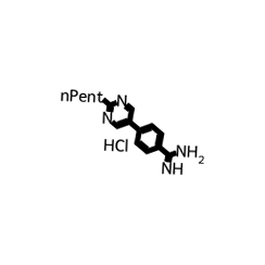 CCCCCc1ncc(-c2ccc(C(=N)N)cc2)cn1.Cl